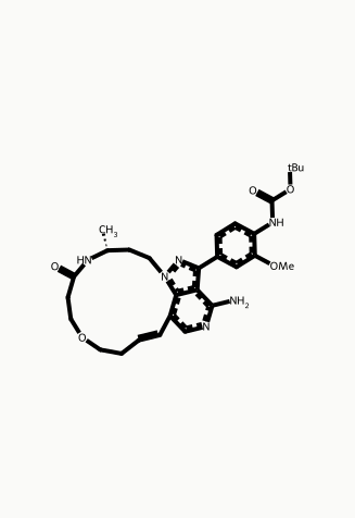 COc1cc(-c2nn3c4c(cnc(N)c24)/C=C/CCOCCC(=O)N[C@H](C)CC3)ccc1NC(=O)OC(C)(C)C